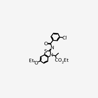 CCOC(=O)C(C)n1c(=NC(=O)c2cccc(Cl)c2)sc2cc(OCC)ccc21